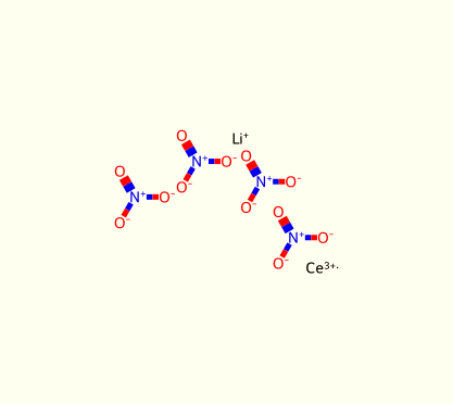 O=[N+]([O-])[O-].O=[N+]([O-])[O-].O=[N+]([O-])[O-].O=[N+]([O-])[O-].[Ce+3].[Li+]